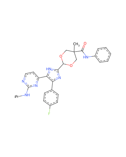 CC(C)Nc1nccc(-c2[nH]c(C3OCC(C)(C(=O)Nc4ccccc4)CO3)nc2-c2ccc(F)cc2)n1